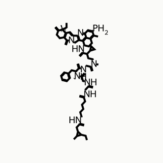 C=C(CCCCCNC(=C)CC1C(C)C1CC)NCC(=C)NCC(=C)N(C)C(Cc1ccccc1)C(=C)NCC(=C)N(C)CCC(C(=C)NC1CCc2c(C)c(P)cc3nc4c(c1c23)CN1C(=C)C2=C(C=C41)[C@@](C)(CC)C(=C)CC2)C1CC1